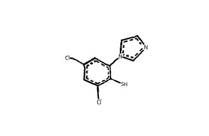 Sc1c(Cl)cc(Cl)cc1-n1ccnc1